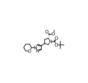 COC(=O)[C@H]1CC(c2cnn(C3CCCCO3)c2)CN1C(=O)OC(C)(C)C